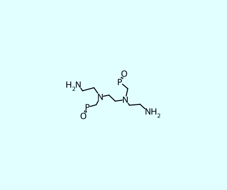 NCCN(CCN(CCN)CP=O)CP=O